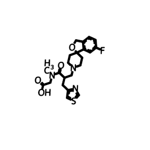 CN(CC(=O)O)C(=O)C(Cc1cscn1)CN1CCC2(CC1)OCc1ccc(F)cc12